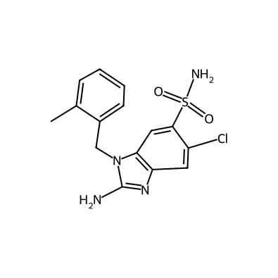 Cc1ccccc1Cn1c(N)nc2cc(Cl)c(S(N)(=O)=O)cc21